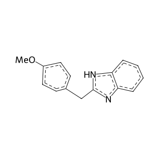 COc1ccc(Cc2nc3ccccc3[nH]2)cc1